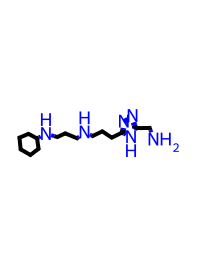 NCc1nnc(CCCNCCCNC2CCCCC2)[nH]1